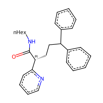 CCCCCCNC(=O)[C@H](CCC(c1ccccc1)c1ccccc1)c1ccccn1